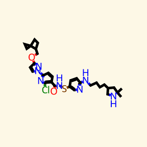 CC1(C)CC(CCCCNc2ccc(SNC(=O)c3ccc(-n4ccc(OCC5CCC56CC6)n4)nc3Cl)cn2)CN1